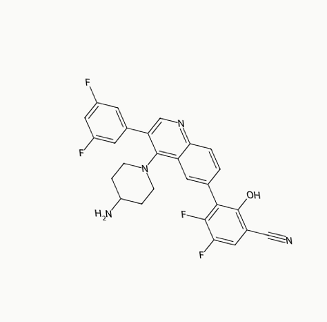 N#Cc1cc(F)c(F)c(-c2ccc3ncc(-c4cc(F)cc(F)c4)c(N4CCC(N)CC4)c3c2)c1O